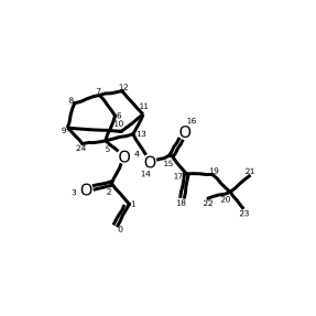 C=CC(=O)OC12CC3CC(CC(C3)C1OC(=O)C(=C)CC(C)(C)C)C2